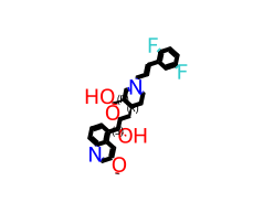 COc1cnc2cccc([C@@H](O)CC[C@@H]3CCN(CC=Cc4cc(F)ccc4F)C[C@@H]3C(=O)O)c2c1